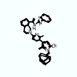 C=C(Nc1nc2ccccc2s1)c1cccc2c1CN(c1ccc(-c3cc(C#N)n(CC45CC6CC(CC(C6)C4)C5)c3C)c(C)n1)CC2